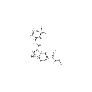 CCOC(=O)c1ccc2[nH]cc(CCN(C=O)OC(C)(C)C)c2c1